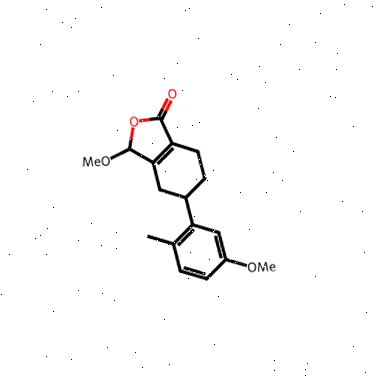 COc1ccc(C)c(C2CCC3=C(C2)C(OC)OC3=O)c1